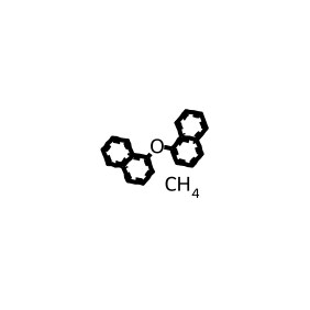 C.c1ccc2c(Oc3cccc4ccccc34)cccc2c1